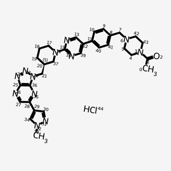 CC(=O)N1CCN(Cc2ccc(-c3cnc(N4CCC[C@H](Cn5nnc6ncc(-c7cnn(C)c7)nc65)C4)nc3)cc2)CC1.Cl